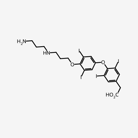 NCCCNCCCOc1c(I)cc(Oc2c(I)cc(CC(=O)O)cc2I)cc1I